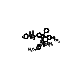 CCN1CC2CC1CN2S(=O)(=O)C1(C)Cn2c(c(C3CCCCC3)c3ccc(C(=O)NS(=O)(=O)N4CCOCC4)cc32)-c2ccc(OC)cc2C1C